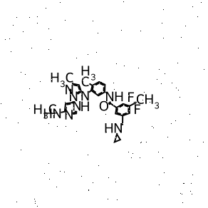 CNc1cc(-n2nc(C)cc2Nc2cc(NC(=O)c3cc(CNC4CC4)cc(C(C)(F)F)c3)ccc2C)ncn1